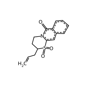 C=CCC1CCn2c(cc3ccccc3c2=O)S1(=O)=O